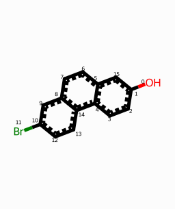 Oc1ccc2c(ccc3cc(Br)ccc32)c1